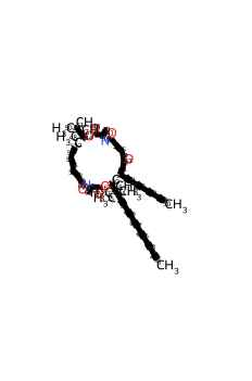 CC#CC#CC#CC#CC#CC#CC(C)(C)C(C)(C)C1C/C(C#CC#CC#CC#CC)=C\C2OC2/C=C/c2nc(co2)C(=O)OC(C(C)(C)C(C)C)C\C=C/C=C/C=C/c2nc(co2)C(=O)O1